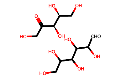 O=C(CO)[C@H](O)[C@@H](O)CO.O=CC(O)C(O)C(O)C(O)CO